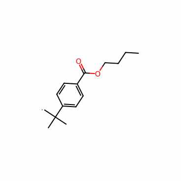 [CH2]C(C)(C)c1ccc(C(=O)OCCCC)cc1